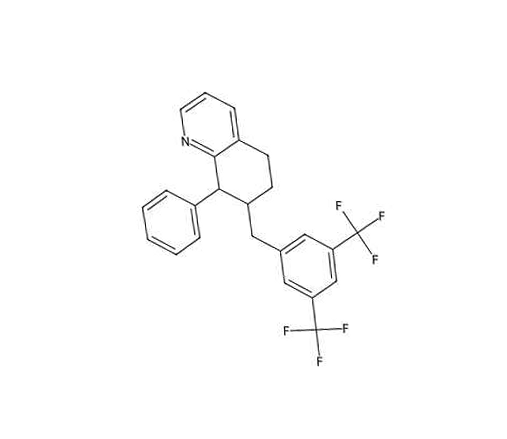 FC(F)(F)c1cc(CC2CCc3cccnc3C2c2ccccc2)cc(C(F)(F)F)c1